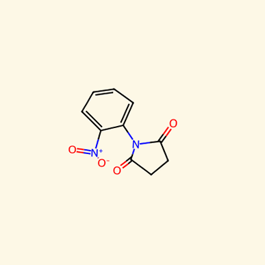 O=C1CCC(=O)N1c1ccccc1[N+](=O)[O-]